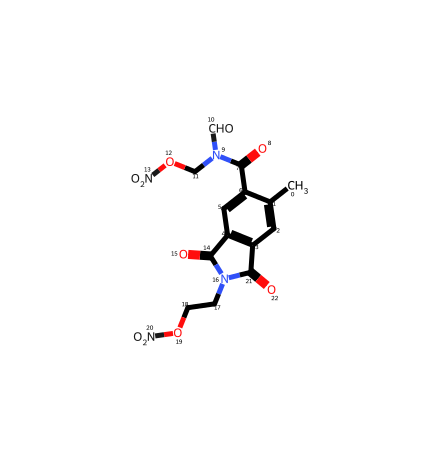 Cc1cc2c(cc1C(=O)N(C=O)CO[N+](=O)[O-])C(=O)N(CCO[N+](=O)[O-])C2=O